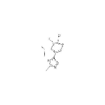 Cc1ncn(-c2ccc(Cl)c(F)c2C(C)C)n1